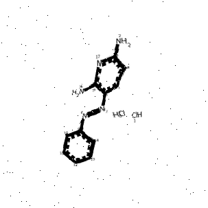 Cl.Cl.Nc1ccc(/N=N/c2ccccc2)c(N)n1